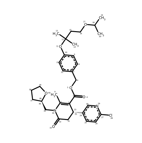 CC1=C(C(=O)OCc2ccc(OC(C)(C)CCOC(C)C)cc2)[C@H](c2ccc(Cl)nc2)CC(=O)N1C[C@H]1CCCO1